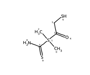 CS(C)(C(=O)CS)C(N)=S